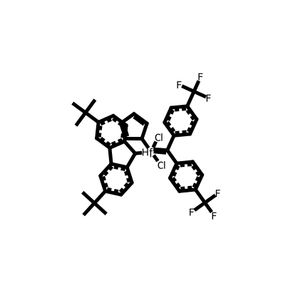 CC(C)(C)c1ccc2c(c1)-c1cc(C(C)(C)C)ccc1[CH]2[Hf]([Cl])([Cl])(=[C](c1ccc(C(F)(F)F)cc1)c1ccc(C(F)(F)F)cc1)[CH]1C=CC=C1